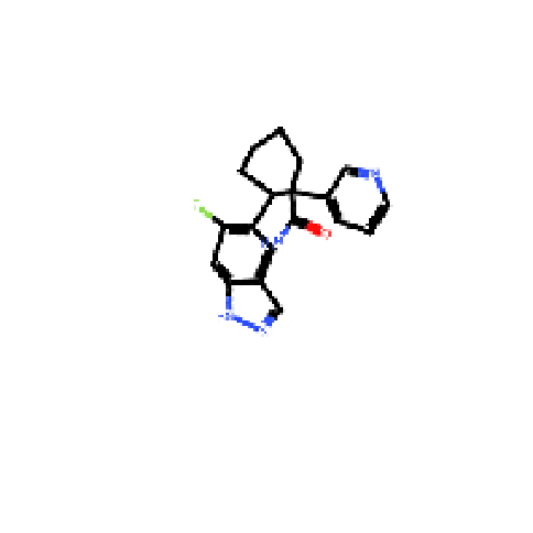 NC(=O)C1(c2cccnc2)CCCCC1c1cc2cn[nH]c2cc1F